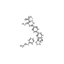 COCc1cccc([C@H]2CCc3nc4ccc(-c5cnc(N6CCN(C(C)=O)[C@H](C)C6)nc5)nc4n32)c1